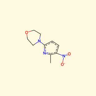 Cc1nc(N2CCOCC2)ccc1[N+](=O)[O-]